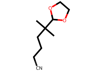 CC(C)(CCCC#N)C1OCCO1